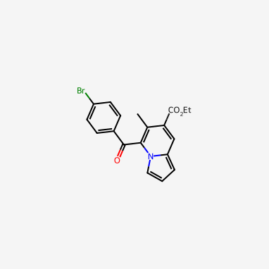 CCOC(=O)c1cc2cccn2c(C(=O)c2ccc(Br)cc2)c1C